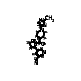 Cc1nsc(N2CCC(C(=O)N3OCCC3c3cncc(C#N)c3)CC2)n1